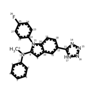 CN(c1ccccc1)c1cc2cc(-c3nnn[nH]3)ccc2n1-c1ccc(F)cc1